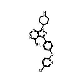 Nc1ncnc2c1c(-c1ccc(Oc3ccc(Cl)cn3)cc1)nn2C1CCNCC1